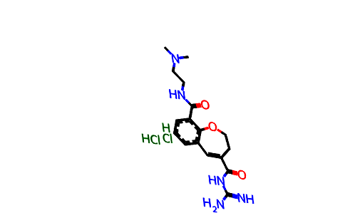 CN(C)CCNC(=O)c1cccc2c1OCCC(C(=O)NC(=N)N)=C2.Cl.Cl